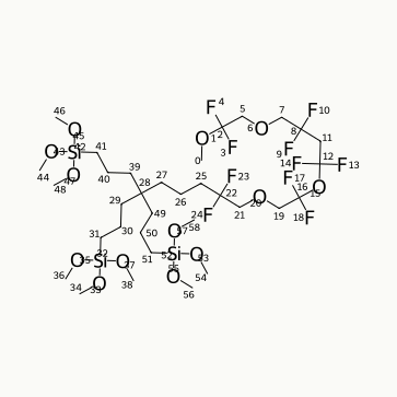 COC(F)(F)COCC(F)(F)CC(F)(F)OC(F)(F)COCC(F)(F)CCCC(CCC[Si](OC)(OC)OC)(CCC[Si](OC)(OC)OC)CCC[Si](OC)(OC)OC